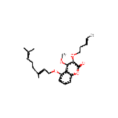 CCC=CCCOc1c(OC(C)C)c2c(OC/C=C(\C)CCC=C(C)C)cccc2oc1=O